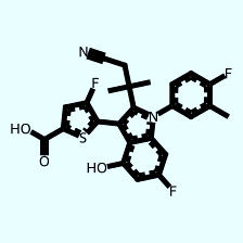 Cc1cc(-n2c(C(C)(C)CC#N)c(-c3sc(C(=O)O)cc3F)c3c(O)cc(F)cc32)ccc1F